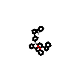 c1ccc(N(c2ccc(-c3cccc4ccccc34)cc2)c2ccc(-c3cccc4c3sc3ccccc34)cc2)c(-c2ccc3ccccc3c2)c1